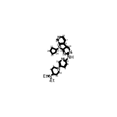 CCN(CC)C1CCN(c2ccc(Nc3ncc4c5ccnnc5n(C5CCCC5)c4n3)nc2)CC1